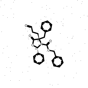 O=CCC[C@]1(Cc2ccccc2)C(=O)O[C@@H](c2ccccc2)N1C(=O)OCc1ccccc1